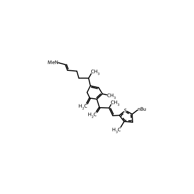 C=C1CC(C(C)CC/C=C/NC)=CC(C)=C1C(=C)/C(C)=C/c1sc(CCCC)cc1C